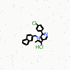 Cc1c(C)n(Cc2ccc3ccccc3c2)c2c(-c3ccc(Cl)cc3)nccc12.Cl